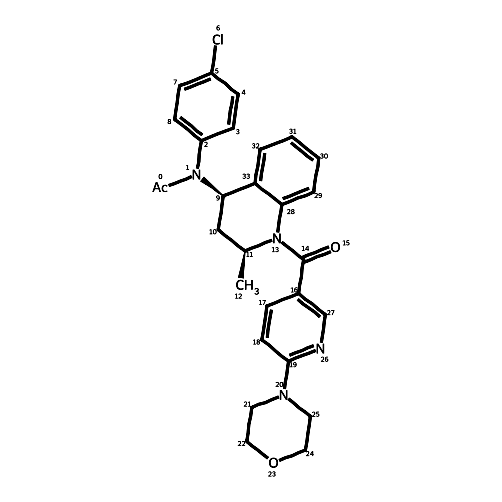 CC(=O)N(c1ccc(Cl)cc1)[C@@H]1C[C@H](C)N(C(=O)c2ccc(N3CCOCC3)nc2)c2ccccc21